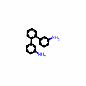 Nc1cccc(-c2ccccc2-c2cccc(N)c2)c1